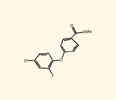 COC(=O)c1ccc(Oc2ncc(Cl)cc2F)cc1